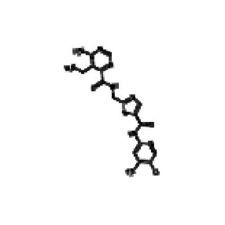 NCc1c(N)ncnc1C(=O)NCc1ncc(C(=O)Nc2cc(C(F)(F)F)c(Cl)cn2)s1